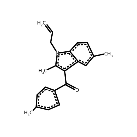 C=CCn1c(C)c(C(=O)c2ccc(C)cc2)c2cc(C)ccc21